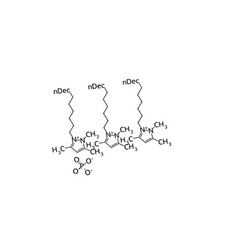 CCCCCCCCCCCCCCCC[n+]1c(C)cc(C)n1C.CCCCCCCCCCCCCCCC[n+]1c(C)cc(C)n1C.CCCCCCCCCCCCCCCC[n+]1c(C)cc(C)n1C.O=P([O-])([O-])[O-]